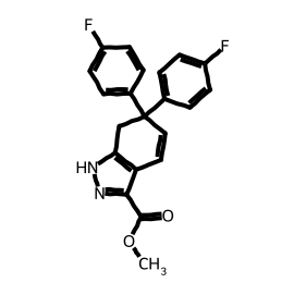 COC(=O)c1n[nH]c2c1C=CC(c1ccc(F)cc1)(c1ccc(F)cc1)C2